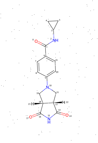 O=C(NC1CC1)c1ccc(N2C[C@@H]3C(=O)NC(=O)[C@@H]3C2)cc1